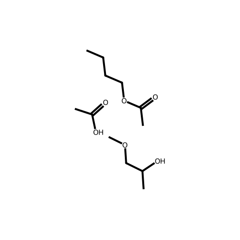 CC(=O)O.CCCCOC(C)=O.COCC(C)O